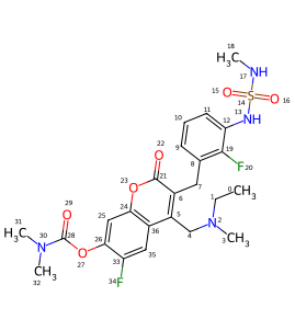 CCN(C)Cc1c(Cc2cccc(NS(=O)(=O)NC)c2F)c(=O)oc2cc(OC(=O)N(C)C)c(F)cc12